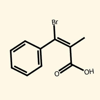 CC(C(=O)O)=C(Br)c1ccccc1